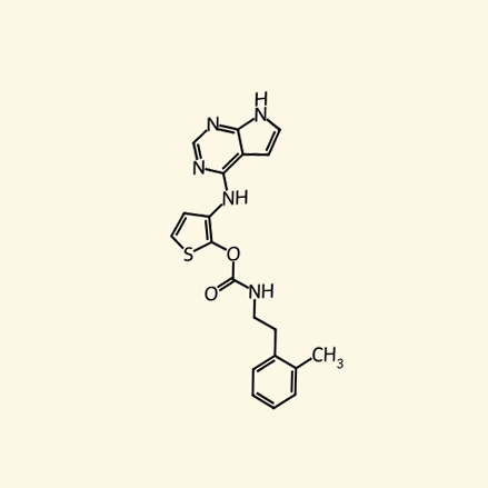 Cc1ccccc1CCNC(=O)Oc1sccc1Nc1ncnc2[nH]ccc12